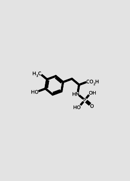 Cc1cc(CC(NP(=O)(O)O)C(=O)O)ccc1O